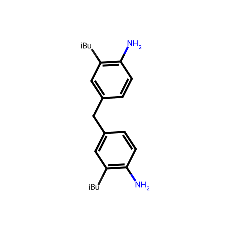 CCC(C)c1cc(Cc2ccc(N)c(C(C)CC)c2)ccc1N